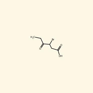 CCC(=O)C(Br)CC(=O)O